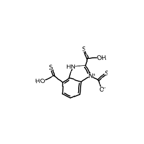 [O-]C(=S)[n+]1c(C(O)=S)[nH]c2c(C(O)=S)cccc21